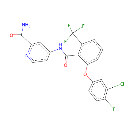 NC(=O)c1cc(NC(=O)c2c(Oc3ccc(F)c(Cl)c3)cccc2C(F)(F)F)ccn1